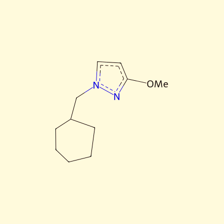 COc1ccn(CC2CCCCC2)n1